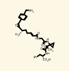 CC(C)C[C@H](NC(=O)C(C)(C)C1(NC(=O)CNC(=O)/C=C/CC[C@H](C)C2OC2c2ccc(CN)cc2)CC1)C(=O)O